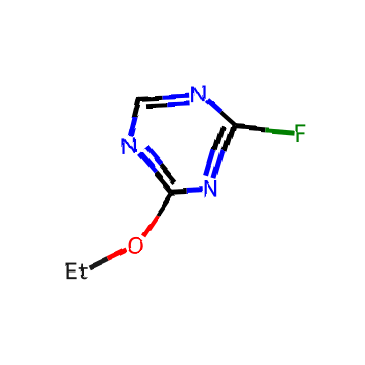 CCOc1ncnc(F)n1